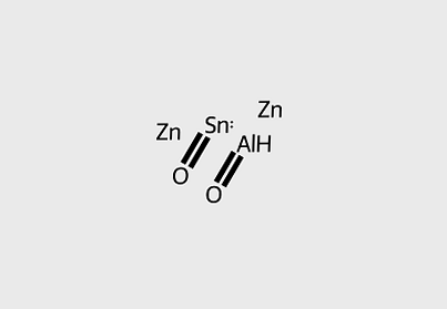 [O]=[AlH].[O]=[Sn].[Zn].[Zn]